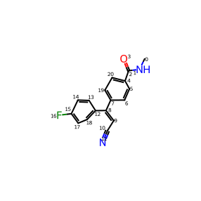 CNC(=O)c1ccc(/C(=C/C#N)c2ccc(F)cc2)cc1